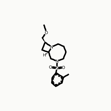 COC[C@@H]1C[C@@H]2CN(S(=O)(=O)c3ccccc3C)CCCCN12